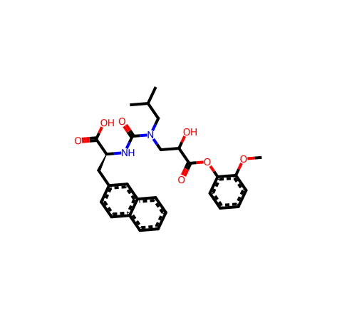 COc1ccccc1OC(=O)C(O)CN(CC(C)C)C(=O)N[C@@H](Cc1ccc2ccccc2c1)C(=O)O